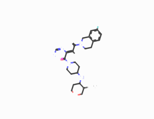 C=C(/C(C)=C(\N=C/N)C(=O)N1CCC(NC2CCOCC2OC)CC1)N1CCc2ccc(F)cc2C1